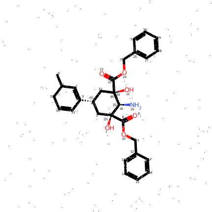 CC1C=C([C@H]2C[C@@](O)(C(=O)OCc3ccccc3)[C@H](N)[C@@](O)(C(=O)OCc3ccccc3)C2)C=CC1